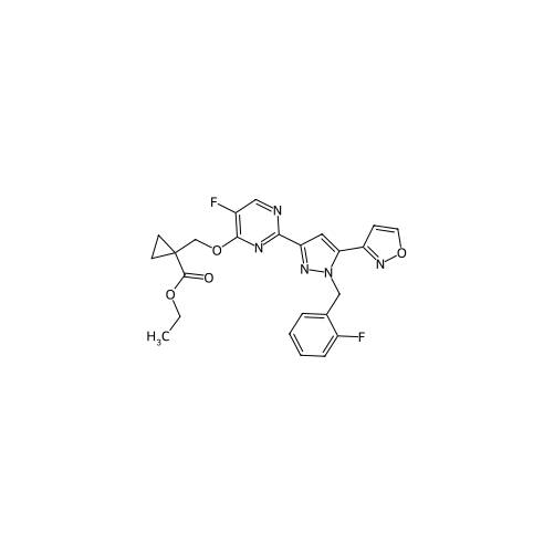 CCOC(=O)C1(COc2nc(-c3cc(-c4ccon4)n(Cc4ccccc4F)n3)ncc2F)CC1